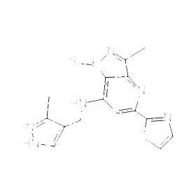 Cc1n[nH]cc1CNc1cc(-c2nccs2)nc2c(C)nn(C(C)C)c12